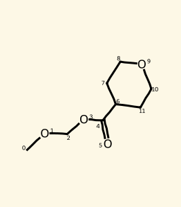 COCOC(=O)C1CCOCC1